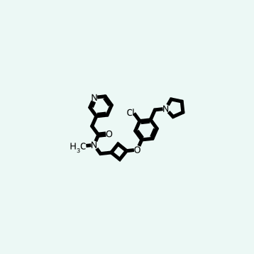 CN(CC1CC(Oc2ccc(CN3CCCC3)c(Cl)c2)C1)C(=O)Cc1cccnc1